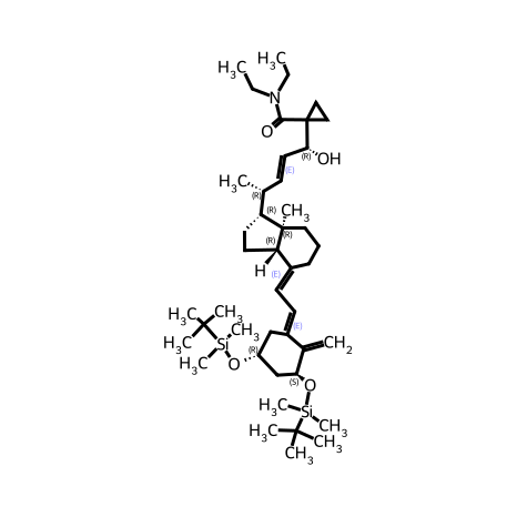 C=C1/C(=C/C=C2\CCC[C@]3(C)[C@@H]([C@H](C)/C=C/[C@@H](O)C4(C(=O)N(CC)CC)CC4)CC[C@@H]23)C[C@@H](O[Si](C)(C)C(C)(C)C)C[C@@H]1O[Si](C)(C)C(C)(C)C